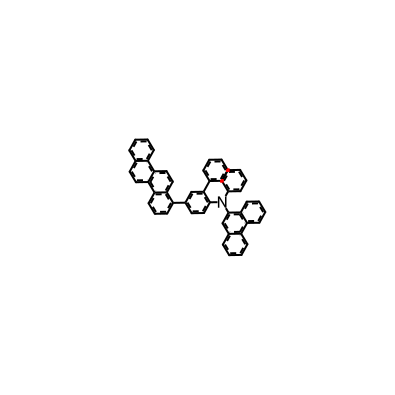 c1ccc(-c2cc(-c3cccc4c3ccc3c5ccccc5ccc43)ccc2N(c2ccccc2)c2cc3ccccc3c3ccccc23)cc1